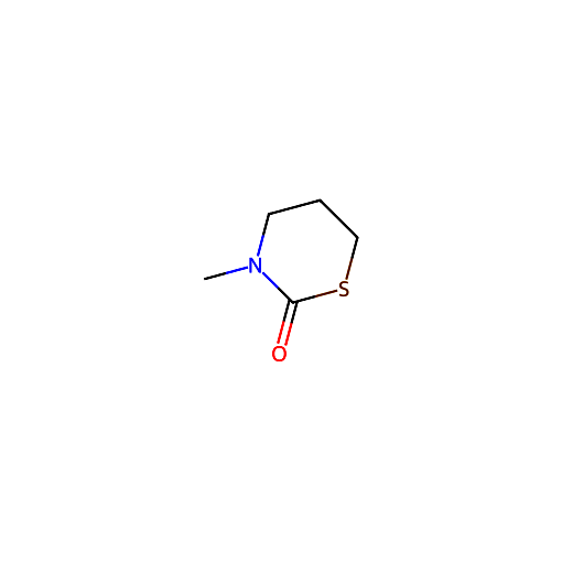 CN1CCCSC1=O